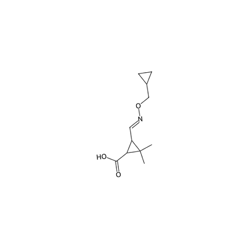 CC1(C)C(C=NOCC2CC2)C1C(=O)O